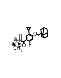 CNS(=O)(=O)NC(=O)c1cc(C2CC2)c(OCC23CC4CC(CC(C4)C2)C3)cc1F